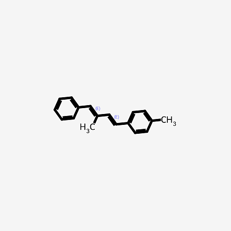 CC(/C=C/c1ccc(C)cc1)=C\c1ccccc1